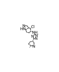 Cc1ccc(-c2nc(Nc3ccc4[nH]ncc4c3Cl)n(C)n2)cn1